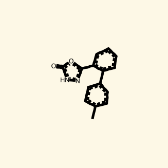 Cc1ccc(-c2ccccc2-c2n[nH]c(=O)o2)cc1